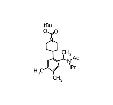 CC(=O)N(C(C)C)[C@H](C)c1cc(C)c(C)cc1C1CCN(C(=O)OC(C)(C)C)CC1